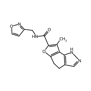 Cc1c(C(=O)NCc2ccon2)oc2c1-c1[nH]ncc1CC2